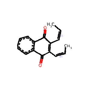 C/C=C\C1=C(/C=C\C)C(=O)c2ccccc2C1=O